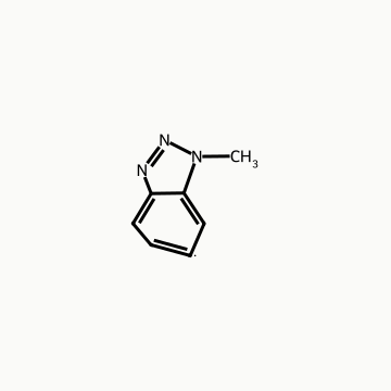 Cn1nnc2cc[c]cc21